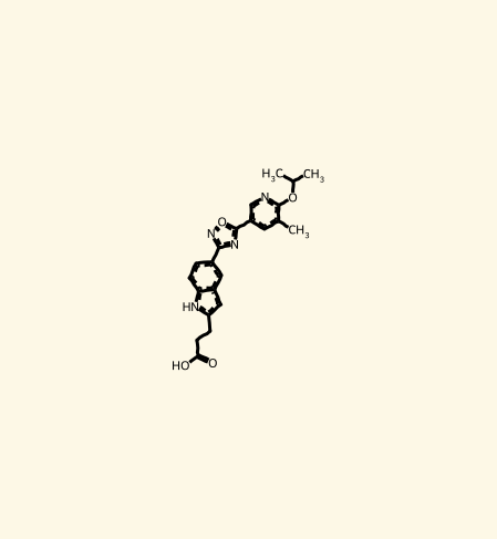 Cc1cc(-c2nc(-c3ccc4[nH]c(CCC(=O)O)cc4c3)no2)cnc1OC(C)C